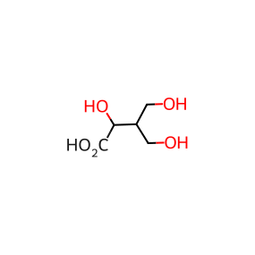 O=C(O)C(O)C(CO)CO